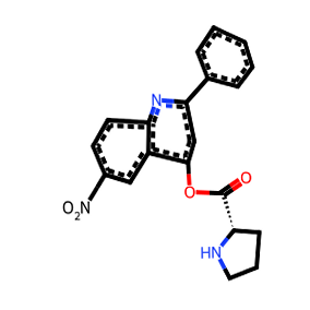 O=C(Oc1cc(-c2ccccc2)nc2ccc([N+](=O)[O-])cc12)[C@@H]1CCCN1